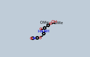 COCC(O)COc1ccc(-c2ccc3c(c2)Nc2ccc(CCOc4ccc(N5CCOCC5)cc4)cc2NC3=O)cc1OC